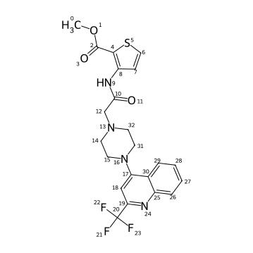 COC(=O)c1sccc1NC(=O)CN1CCN(c2cc(C(F)(F)F)nc3ccccc23)CC1